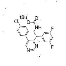 CC(C)(C)OC(=O)NCC(c1cc(F)cc(F)c1)c1ncncc1-c1ccc(Cl)cc1